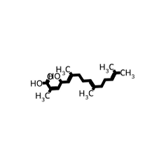 CC(C)=CCCC(C)=CCCC(C)=CC(O)C=C(C)C(=O)O